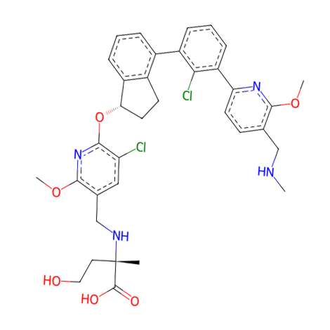 CNCc1ccc(-c2cccc(-c3cccc4c3CC[C@@H]4Oc3nc(OC)c(CN[C@@](C)(CCO)C(=O)O)cc3Cl)c2Cl)nc1OC